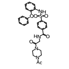 CC(=O)N1CCN(C(=O)CNC(=O)c2ccc(S(=O)(=O)Nc3ccccc3Oc3ccccc3)cc2)CC1